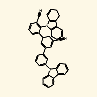 N#CC1=CC(c2cccc(-n3c4ccccc4c4ccccc43)c2)=CC(c2cccc(C#N)c2-n2c3c(c4c2CCC=C4)CCC=C3)C1